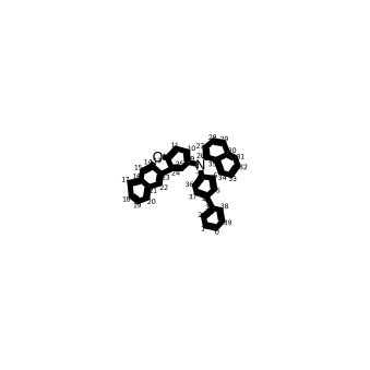 c1ccc(-c2ccc(N(c3ccc4oc5cc6ccccc6cc5c4c3)c3cccc4ccccc34)cc2)cc1